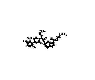 COCCC(C(=O)Nc1ccn2ncc(C(=O)NCCOC(F)(F)F)c2c1)n1cc(OC)c(-c2cc(Cl)ccc2C#N)cc1=O